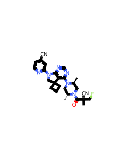 C[C@@H]1CN(c2ncnc3c2C2(CCC2)CN3c2cc(C#N)ccn2)[C@@H](C)CN1C(=O)C(C)(C#N)CF